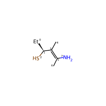 CC[C@H](S)/C(C)=C(\C)N